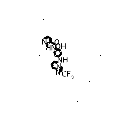 Cc1ncccc1C(=O)NC1(O)CCC(Nc2cccc3nc(C(F)(F)F)cn23)CC1